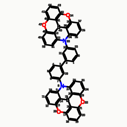 c1cc(-c2cccc(N3c4cccc5c4B4c6c(cccc6Oc6cccc3c64)O5)c2)cc(N2c3cccc4c3B3c5c(cccc5Oc5cccc2c53)O4)c1